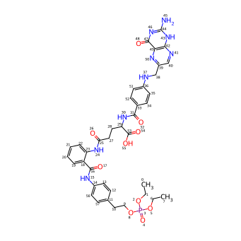 CCOP(=O)(OCC)OCCc1ccc(NC(=O)c2ccccc2NC(=O)CCC(NC(=O)c2ccc(NCc3cnc4[nH]c(N)nc(=O)c4n3)cc2)C(=O)O)cc1